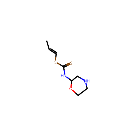 CC=CSC(=S)NC1CNCCO1